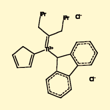 CC(C)C[C](CC(C)C)=[Ti+2]([C]1=CC=CC1)[CH]1c2ccccc2-c2ccccc21.[Cl-].[Cl-]